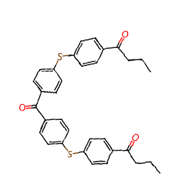 CCCC(=O)c1ccc(Sc2ccc(C(=O)c3ccc(Sc4ccc(C(=O)CCC)cc4)cc3)cc2)cc1